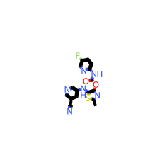 Cc1nc(OC(=O)Nc2ccc(F)cn2)c(Nc2cncc(C#N)c2)s1